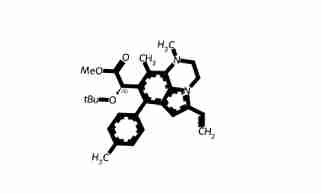 C=Cc1cc2c(-c3ccc(C)cc3)c([C@H](OC(C)(C)C)C(=O)OC)c(C)c3c2n1CCN3C